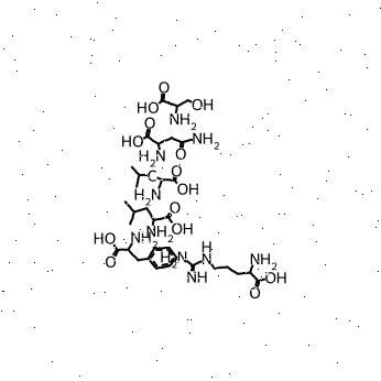 CC(C)CC(N)C(=O)O.CC(C)CC(N)C(=O)O.N=C(N)NCCCC(N)C(=O)O.NC(=O)CC(N)C(=O)O.NC(CO)C(=O)O.NC(Cc1ccccc1)C(=O)O